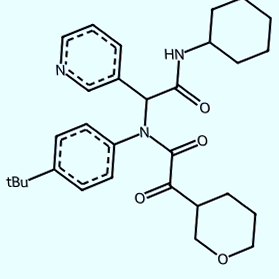 CC(C)(C)c1ccc(N(C(=O)C(=O)C2CCCOC2)C(C(=O)NC2CCCCC2)c2cccnc2)cc1